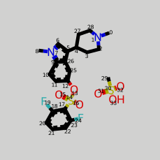 CN1CCC(c2cn(C)c3ccc(OS(=O)(=O)c4c(F)cccc4F)cc23)CC1.CS(=O)(=O)O